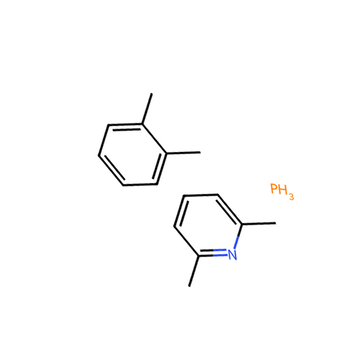 Cc1cccc(C)n1.Cc1ccccc1C.P